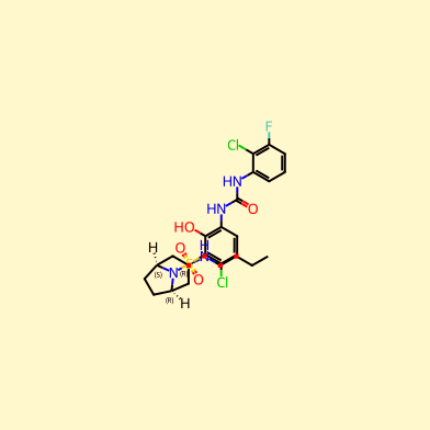 CCCCN[C@H]1C[C@H]2CC[C@@H](C1)N2S(=O)(=O)c1c(Cl)ccc(NC(=O)Nc2cccc(F)c2Cl)c1O